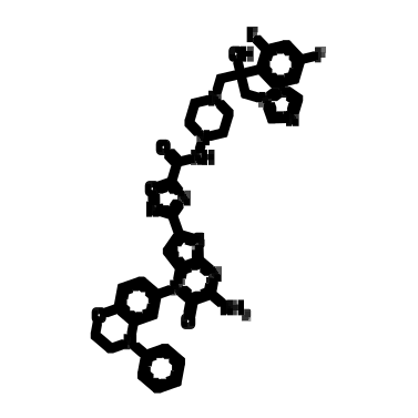 Nc1nc2sc(-c3noc(C(=O)NN4CCN(CC(O)(Cn5cncn5)c5ccc(F)cc5F)CC4)n3)cc2n(-c2ccc3c(c2)N(c2ccccc2)CCO3)c1=O